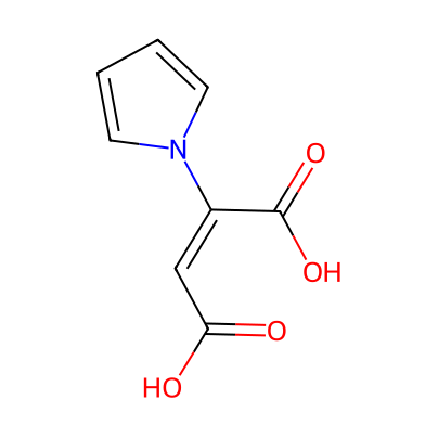 O=C(O)/C=C(\C(=O)O)n1cccc1